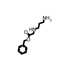 NCCCNCC(=O)OCc1ccccc1